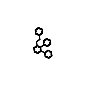 [CH](Cc1cccc(-c2ccccc2)c1-c1ccccc1)c1ccccc1